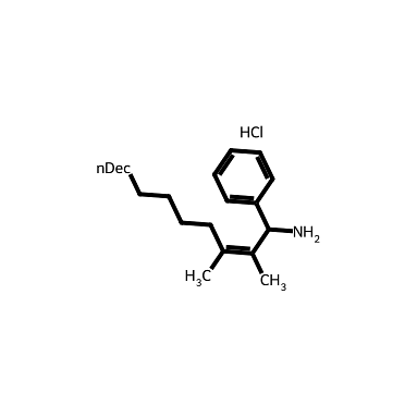 CCCCCCCCCCCCCCC(C)=C(C)C(N)c1ccccc1.Cl